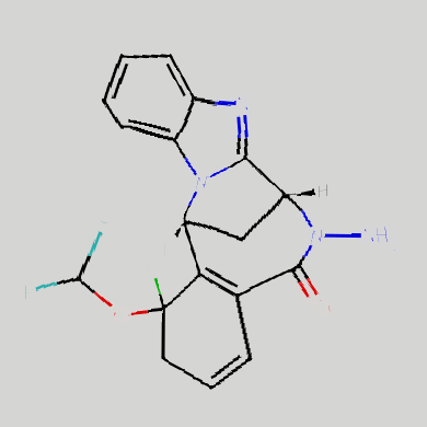 NN1C(=O)C2=C([C@H]3C[C@@H]1c1nc4ccccc4n13)C(Cl)(OC(F)F)CC=C2